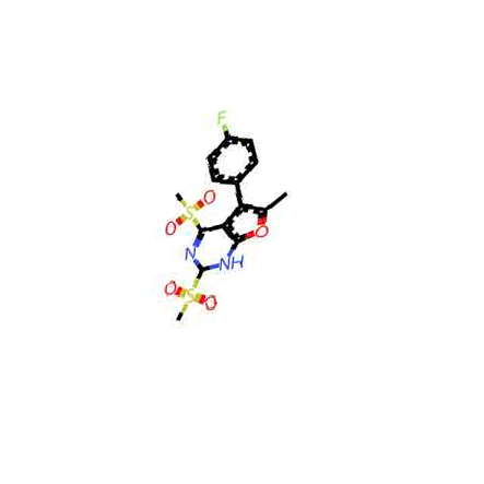 Cc1oc2c(c1-c1ccc(F)cc1)C(S(C)(=O)=O)=NC(S(C)(=O)=O)N2